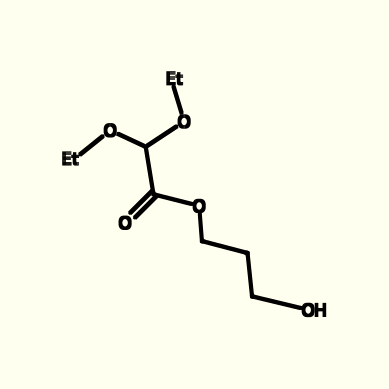 CCOC(OCC)C(=O)OCCCO